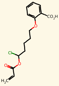 C=CC(=O)OC(Cl)CCCCOc1ccccc1C(=O)O